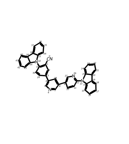 N#Cc1cc(-c2cncc(-c3ccc(-n4c5ccccc5c5ccccc54)nc3)c2)ccc1-n1c2ccccc2c2ccccc21